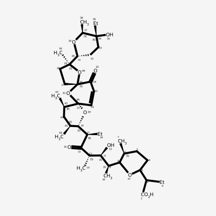 CCC(C(=O)O)C1CC[C@H](C)C([C@@H](C)[C@H](O)[C@H](C)C(=O)[C@H](CC)[C@H]2O[C@]3(C=CC(=O)[C@]4(CC[C@@](C)([C@H]5CC[C@](O)(CC)[C@H](C)O5)O4)O3)[C@H](C)C[C@@H]2C)O1